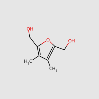 Cc1c(CO)oc(CO)c1C